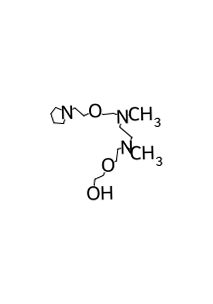 CN(CCOCCO)CCN(C)CCOCCN1CCCC1